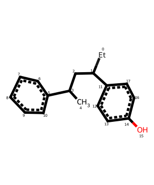 CCC(CC(C)c1ccccc1)c1ccc(O)cc1